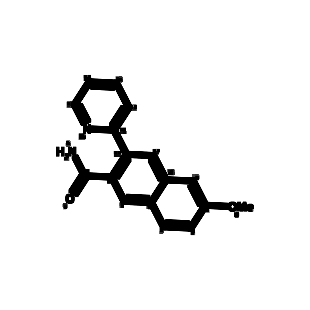 COc1ccc2cc(C(N)=O)c(-c3ccccn3)cc2c1